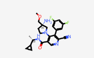 COC[C@]1(N)CCN(c2c(C(=O)N[C@@H](C)C3CC3)cnc(C#N)c2-c2cc(F)cc(F)c2)C1